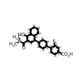 CN(C)C(=O)c1cc(-c2ccc(-c3ccc(C(=O)O)cc3F)cc2)c2ccccc2c1O